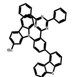 CC(C)(C)c1ccc2c3ccccc3n(-c3ccc(-c4cccc5sc6ccccc6c45)cc3-c3nc(-c4ccccc4)nc(-c4ccccc4)n3)c2c1